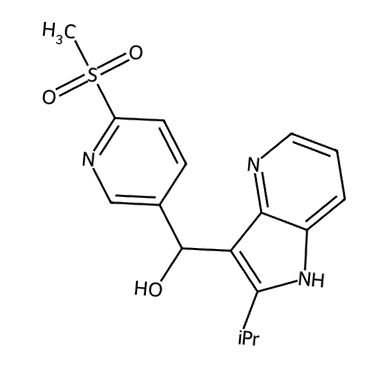 CC(C)c1[nH]c2cccnc2c1C(O)c1ccc(S(C)(=O)=O)nc1